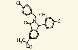 C[C@@H](c1ccc(Cl)cc1)N1C(=O)c2cc(C3(C)CO3)ccc2C1c1ccc(Cl)cc1